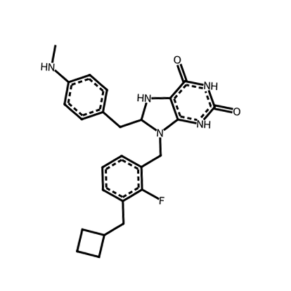 CNc1ccc(CC2Nc3c([nH]c(=O)[nH]c3=O)N2Cc2cccc(CC3CCC3)c2F)cc1